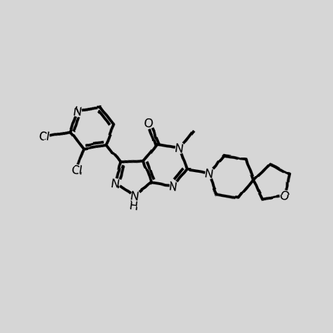 Cn1c(N2CCC3(CCOC3)CC2)nc2[nH]nc(-c3ccnc(Cl)c3Cl)c2c1=O